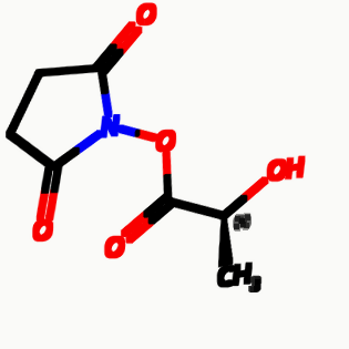 C[C@H](O)C(=O)ON1C(=O)CCC1=O